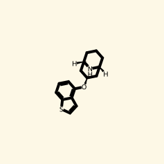 c1cc(O[C@@H]2C[C@H]3CCC[C@@H](C2)N3)c2ccsc2c1